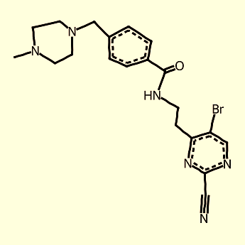 CN1CCN(Cc2ccc(C(=O)NCCc3nc(C#N)ncc3Br)cc2)CC1